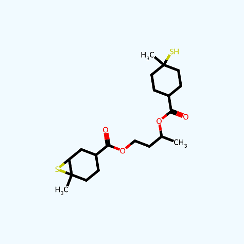 CC(CCOC(=O)C1CCC2(C)SC2C1)OC(=O)C1CCC(C)(S)CC1